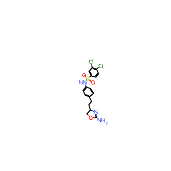 NC1=NC(CCc2ccc(NS(=O)(=O)c3ccc(Cl)c(Cl)c3)cc2)CO1